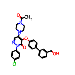 CC(=O)N1CCN(c2cnn(-c3ccc(Cl)cc3)c(=O)c2Oc2ccc(-c3cccc(CO)c3)cc2)CC1